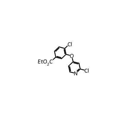 CCOC(=O)c1ccc(Cl)c(Oc2ccnc(Cl)c2)c1